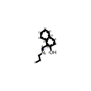 CCC/N=C/c1c(O)ccc2ccccc12